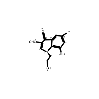 O=Cc1cn(CCO)c2c(N=O)cc(I)cc2c1=O